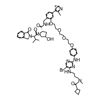 Cc1ncsc1-c1ccc(CNC(=O)[C@@H]2C[C@@H](O)CN2C(=O)C(C(C)C)N2Cc3ccccc3C2=O)c(OCCOCCOCCOc2ccc(Nc3ncc(Br)c(NCCCN(C)C(=O)C4CCC4)n3)cc2)c1